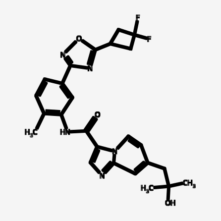 Cc1ccc(-c2noc(C3CC(F)(F)C3)n2)cc1NC(=O)c1cnc2cc(CC(C)(C)O)ccn12